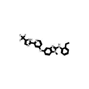 CCc1ccccc1Nc1nc2cc(Oc3ccnc(-c4ncc(C(F)(F)F)[nH]4)c3)ccc2n1C